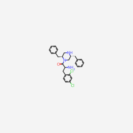 NC(Cc1ccc(Cl)cc1Cl)C(=O)N1C[C@@H](Cc2ccccc2)NC[C@@H]1Cc1ccccc1